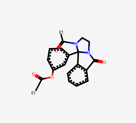 CCC(=O)Oc1cccc(C23c4ccccc4C(=O)N2CCN3C(=O)CC)c1